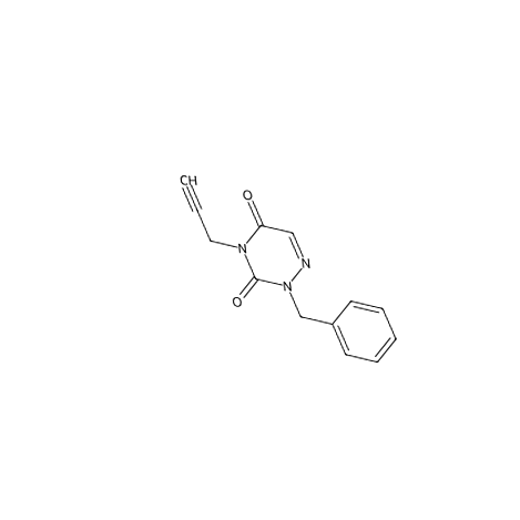 C#CCn1c(=O)cnn(Cc2ccccc2)c1=O